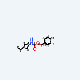 CCC1CC(NC(=O)OCc2ccccc2)C1